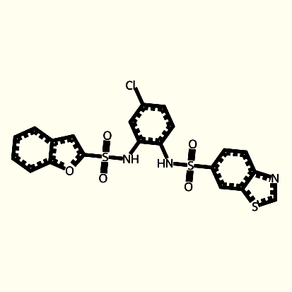 O=S(=O)(Nc1ccc(Cl)cc1NS(=O)(=O)c1cc2ccccc2o1)c1ccc2ncsc2c1